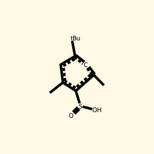 Cc1cc(C(C)(C)C)cc(C)c1S(=O)O